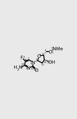 CNOC[C@H]1O[C@@H](n2cc(F)c(N)nc2=O)C[C@@H]1O